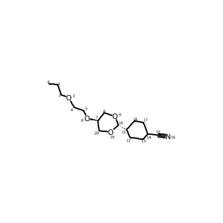 CCCOCCO[C@H]1CO[C@H](C2CCC(C#N)CC2)OC1